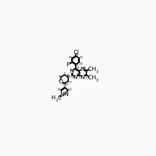 Cc1nc2nc([C@H]3CCO[C@@H](c4cnn(C)c4)C3)nc(-c3ccc(Cl)cc3F)c2nc1C